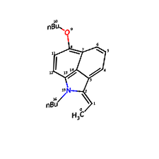 C/C=c1/c2cccc3c(OCCCC)ccc(c32)n1CCCC